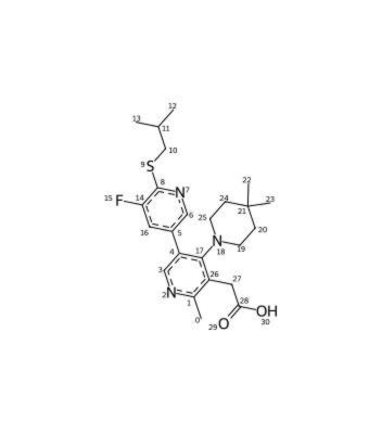 Cc1ncc(-c2cnc(SCC(C)C)c(F)c2)c(N2CCC(C)(C)CC2)c1CC(=O)O